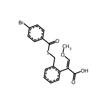 CO/C=C(/C(=O)O)c1ccccc1CSC(=O)c1ccc(Br)cc1